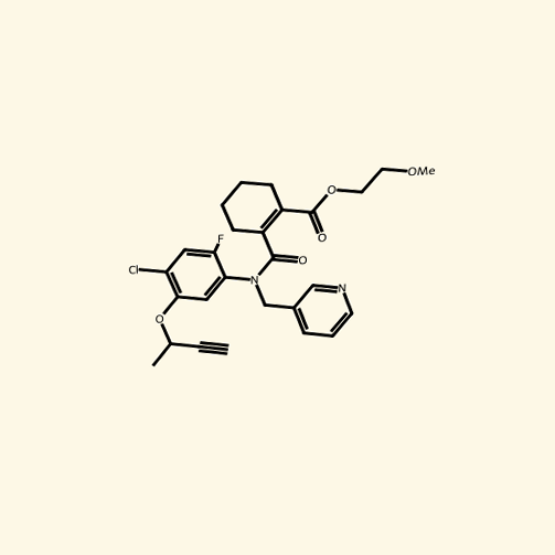 C#CC(C)Oc1cc(N(Cc2cccnc2)C(=O)C2=C(C(=O)OCCOC)CCCC2)c(F)cc1Cl